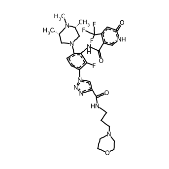 C[C@@H]1CN(c2ccc(-n3cc(C(=O)NCCCN4CCOCC4)nn3)c(F)c2NC(=O)c2c[nH]c(=O)cc2C(F)(F)F)C[C@H](C)N1C